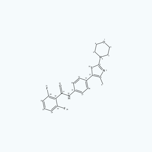 Cc1nc(N2CCOCC2)sc1-c1ccc(NC(=O)c2c(F)cccc2F)cc1